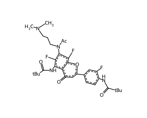 CC(=O)N(CCCN(C)C)c1c(F)c(NC(=O)C(C)(C)C)c2c(=O)cc(-c3ccc(NC(=O)C(C)(C)C)c(F)c3)oc2c1F